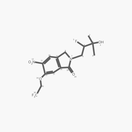 CC(C)(O)C(F)CN1Cc2cc([N+](=O)[O-])c(OCC(F)(F)F)cc2C1=O